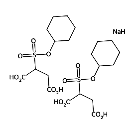 O=C(O)CC(C(=O)O)S(=O)(=O)OC1CCCCC1.O=C(O)CC(C(=O)O)S(=O)(=O)OC1CCCCC1.[NaH]